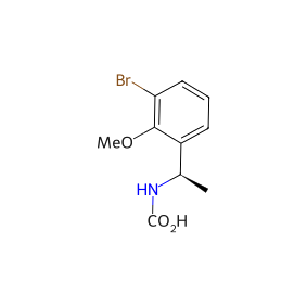 COc1c(Br)cccc1[C@@H](C)NC(=O)O